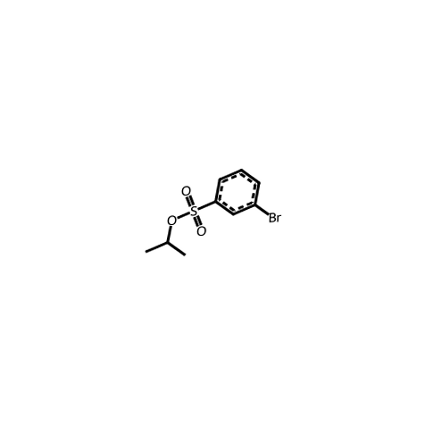 CC(C)OS(=O)(=O)c1cccc(Br)c1